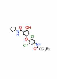 CCOC(=O)C(=O)Nc1cc(Cl)c(Oc2ccc(O)c(C(=O)NC3CCCC3)c2)c(Cl)c1